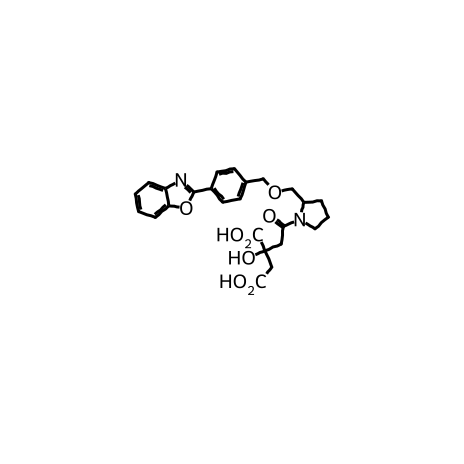 O=C(O)CC(O)(CC(=O)N1CCCC1COCc1ccc(-c2nc3ccccc3o2)cc1)C(=O)O